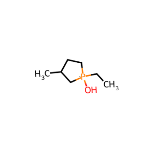 CC[P]1(O)CCC(C)C1